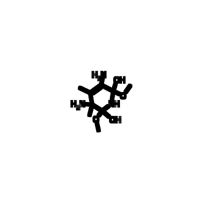 COC1(O)NC(O)(OC)C(C)(N)C(C)=C1N